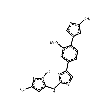 CCn1nc(C(F)(F)F)cc1Nc1nc(-c2ccc(-n3cnc(C)c3)c(OC)n2)cs1